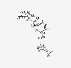 CCCC(CC)(CC(=O)Nc1cccc(/C=C/c2nc(C3CC3)cs2)c1)C(=O)O